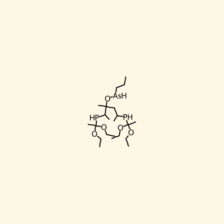 CCC[AsH]OC(C)(CC(C)PC(C)(OCC)OCC)C(C)PC(C)(OCC)OCC